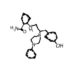 NC(=O)c1ccccc1NCC(Cc1ccc(O)cc1)N1CCN(c2ccccc2)CC1